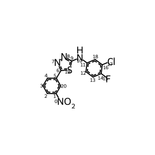 O=[N+]([O-])c1cccc(-c2nnc(Nc3ccc(F)c(Cl)c3)s2)c1